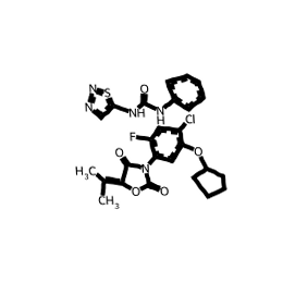 CC(C)=C1OC(=O)N(c2cc(OC3CCCC3)c(Cl)cc2F)C1=O.O=C(Nc1ccccc1)Nc1cnns1